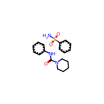 NS(=O)(=O)c1ccccc1.O=C(Nc1ccccc1)N1CCCCC1